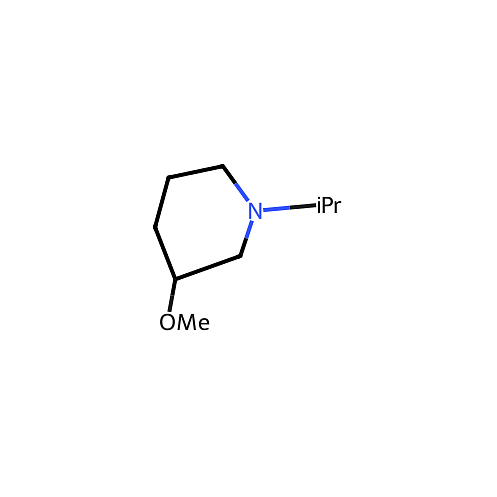 COC1CCCN(C(C)C)C1